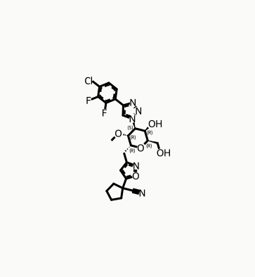 CO[C@@H]1[C@@H](n2cc(-c3ccc(Cl)c(F)c3F)nn2)[C@@H](O)[C@@H](CO)O[C@@H]1Cc1cc(C2(C#N)CCCC2)on1